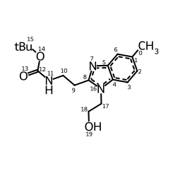 Cc1ccc2c(c1)nc(CCNC(=O)OC(C)(C)C)n2CCO